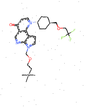 C[Si](C)(C)CCOCn1ccc2c1ncc1c(=O)ccn([C@H]3CC[C@H](COCC(F)(F)F)CC3)c12